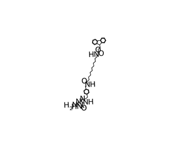 Nc1nc2nc(Cc3ccc(CNC(=O)CCCCCCCCCCCNC(=O)OCC4c5ccccc5-c5ccccc54)cc3)[nH]c2c(=O)[nH]1